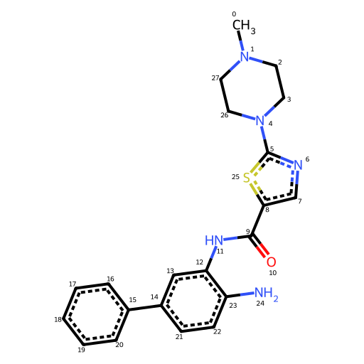 CN1CCN(c2ncc(C(=O)Nc3cc(-c4ccccc4)ccc3N)s2)CC1